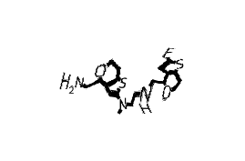 CN(CCNCC1OCCc2sc(F)cc21)c1cc2c(s1)CCOC2CN